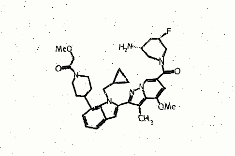 COCC(=O)N1CCC(c2cccc3cc(-c4nn5cc(C(=O)N6C[C@H](N)C[C@@H](F)C6)cc(OC)c5c4C)n(CC4CC4)c23)CC1